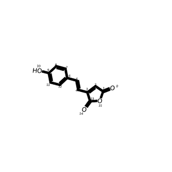 O=C1C=C(C=Cc2ccc(O)cc2)C(=O)O1